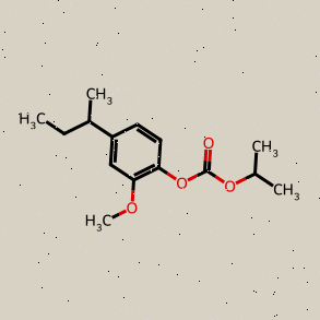 CCC(C)c1ccc(OC(=O)OC(C)C)c(OC)c1